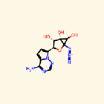 [N-]=[N+]=NC12O[C@@H](c3ccc4c(N)ncnn34)[C@H](O)[C@@]1(O)C2O